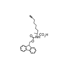 C#CCCCCC[C@](C)(NC(=O)OCC1c2ccccc2-c2ccccc21)C(=O)O